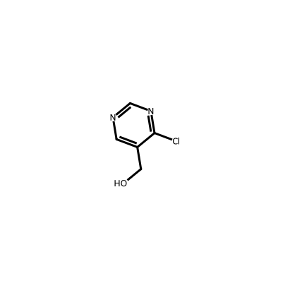 OCc1cncnc1Cl